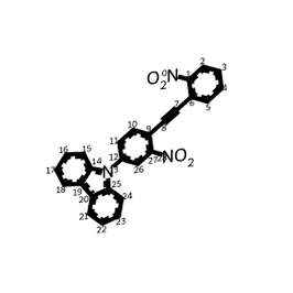 O=[N+]([O-])c1ccccc1C#Cc1ccc(-n2c3ccccc3c3ccccc32)cc1[N+](=O)[O-]